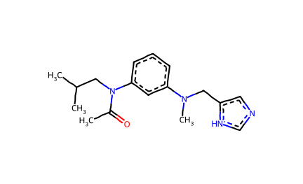 CC(=O)N(CC(C)C)c1cccc(N(C)Cc2cnc[nH]2)c1